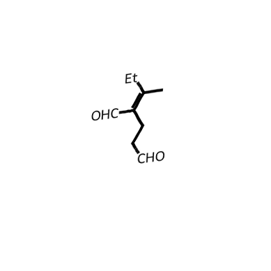 CC/C(C)=C(\C=O)CCC=O